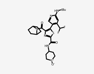 CC(C)(C)Nc1cc(C(F)F)c(-c2sc(C(=O)NC3CC[S+]([O-])CC3)nc2C(=O)N2C3CCC2CC3)cn1